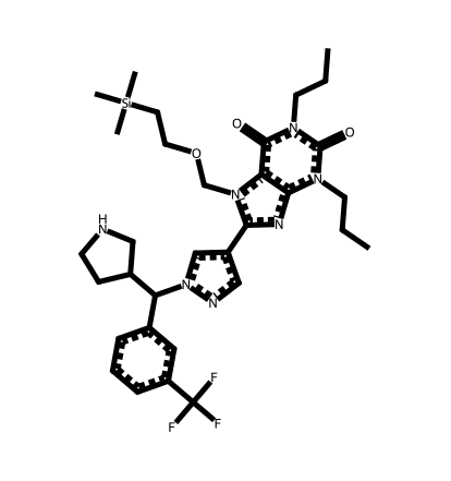 CCCn1c(=O)c2c(nc(-c3cnn(C(c4cccc(C(F)(F)F)c4)C4CCNC4)c3)n2COCC[Si](C)(C)C)n(CCC)c1=O